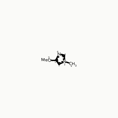 COc1cn(C)cn1